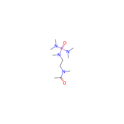 CC(=O)N(C)CCN(C)P(=O)(N(C)C)N(C)C